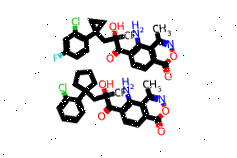 Cc1noc(=O)c2ccc(C(=O)C(O)(CC3(c4ccc(F)cc4Cl)CC3)C(F)(F)F)c(N)c12.Cc1noc(=O)c2ccc(C(=O)C(O)(CC3(c4ccccc4Cl)CCCC3)C(F)(F)F)c(N)c12